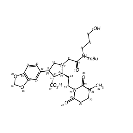 CCCCN(CCCO)C(=O)CN1C[C@H](c2ccc3c(c2)OCO3)[C@@H](C(=O)O)[C@@H]1CCN1C(=O)CCN(C)C1=O